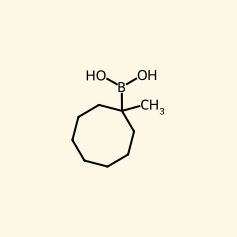 CC1(B(O)O)CCCCCCC1